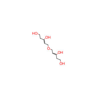 OCCC(O)=CCOCC=C(O)CCO